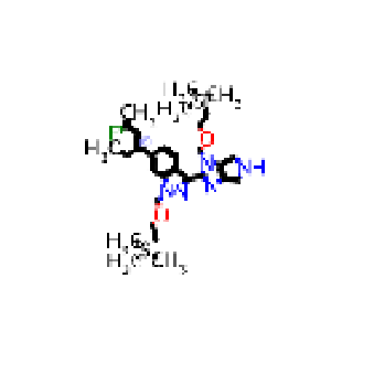 C=C(F)/C=C(\CC)c1ccc2c(-c3nc4c(n3COCC[Si](C)(C)C)CNC4)nn(COCC[Si](C)(C)C)c2c1